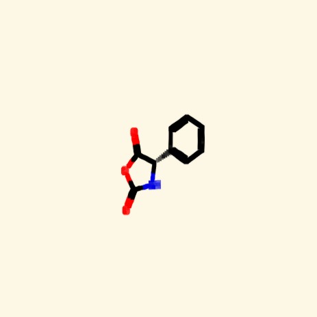 O=C1N[C@@H](c2ccccc2)C(=O)O1